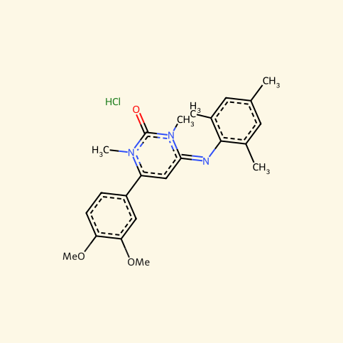 COc1ccc(-c2c/c(=N/c3c(C)cc(C)cc3C)n(C)c(=O)n2C)cc1OC.Cl